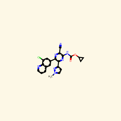 Cn1ccc(-c2nc(NC(=O)OC3CC3)c(C#N)nc2-c2cc(Cl)c3ncccc3c2)n1